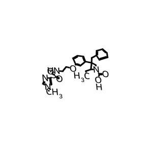 CCC1N(C(=O)O)CC1(Cc1ccccc1)c1cccc(OCCNS(=O)(=O)c2cn(C)cn2)c1